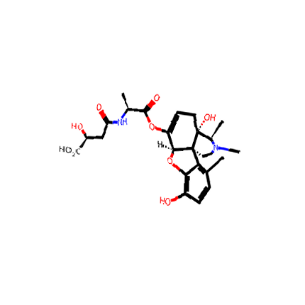 Cc1ccc(O)c2c1[C@]13CCN(C)[C@H](C)[C@]1(O)CC=C(OC(=O)[C@H](C)NC(=O)C[C@H](O)C(=O)O)[C@@H]3O2